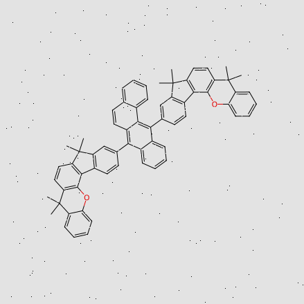 CC1(C)c2ccccc2Oc2c1ccc1c2-c2ccc(-c3c4ccccc4c(-c4ccc5c(c4)C(C)(C)c4ccc6c(c4-5)Oc4ccccc4C6(C)C)c4c3ccc3ccccc34)cc2C1(C)C